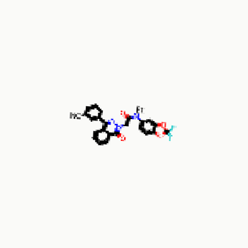 CCN(C(=O)Cn1nc(-c2cccc(C#N)c2)c2ccccc2c1=O)c1ccc2c(c1)OC(F)(F)O2